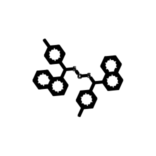 Cc1ccc(C(SOSC(c2ccc(C)cc2)c2cccc3ccccc23)c2cccc3ccccc23)cc1